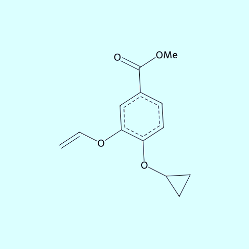 C=COc1cc(C(=O)OC)ccc1OC1CC1